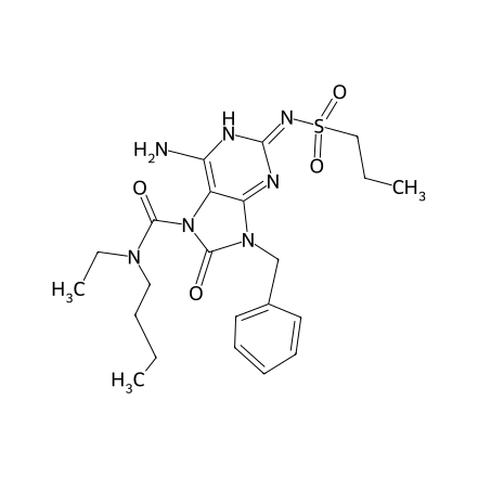 CCCCN(CC)C(=O)n1c(=O)n(Cc2ccccc2)c2nc(=NS(=O)(=O)CCC)[nH]c(N)c21